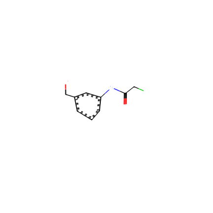 O=C(CCl)Nc1cccc(CO)c1